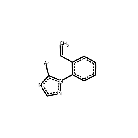 C=Cc1ccccc1-n1ncnc1C(C)=O